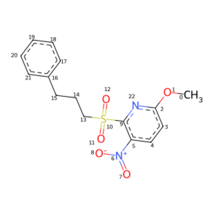 COc1ccc([N+](=O)[O-])c(S(=O)(=O)CCCc2ccccc2)n1